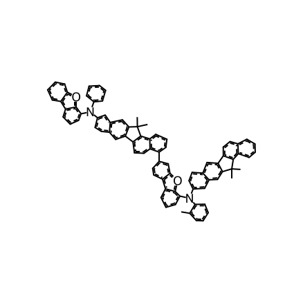 Cc1ccccc1N(c1ccc2cc3c(cc2c1)C(C)(C)c1c-3ccc2ccccc12)c1cccc2c1oc1cc(-c3cccc4c5c(ccc34)-c3cc4ccc(N(c6ccccc6)c6cccc7c6oc6ccccc67)cc4cc3C5(C)C)ccc12